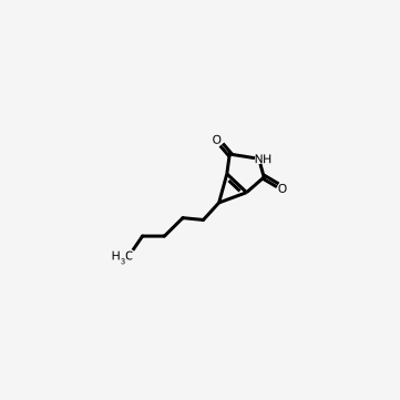 CCCCCC1C2=C1C(=O)NC2=O